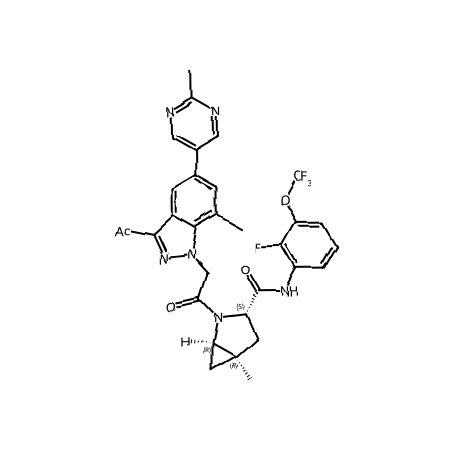 CC(=O)c1nn(CC(=O)N2[C@H](C(=O)Nc3cccc(OC(F)(F)F)c3F)C[C@@]3(C)C[C@@H]23)c2c(C)cc(-c3cnc(C)nc3)cc12